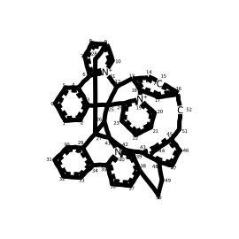 c1ccc2c(c1)-c1ccc3c[n+]1C1c4ccc5cc4-[n+]4ccccc4C21C1C2(C3)c3ccccc3-c3ccc4c[n+]3C12Cc1cc(ccc1CC4)CC5